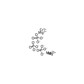 O=P([O-])([O-])[O-].O=P([O-])([O-])[O-].O=P([O-])([O-])[O-].[Cr+3].[Mg+2].[Mg+2].[Mg+2]